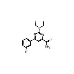 CCN(CC)c1nc(C(N)=O)cc(-c2cccc(F)c2)n1